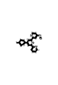 Cc1ccc(-c2cc(-c3ccccn3)nc(-c3cc(P=O)ccn3)c2)cc1